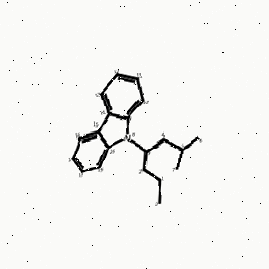 CCCC(CC(C)C)n1c2ccccc2c2ccccc21